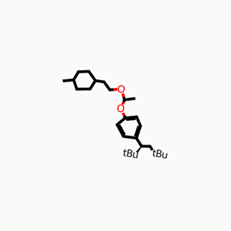 CC1CCC(CCOC(C)Oc2ccc([C@@H](CC(C)(C)C)C(C)(C)C)cc2)CC1